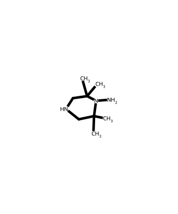 CC1(C)CNCC(C)(C)N1N